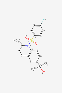 O=C(O)C1CCc2cc(C(O)(C(F)(F)F)C(F)(F)F)ccc2N1S(=O)(=O)c1ccc(F)cc1